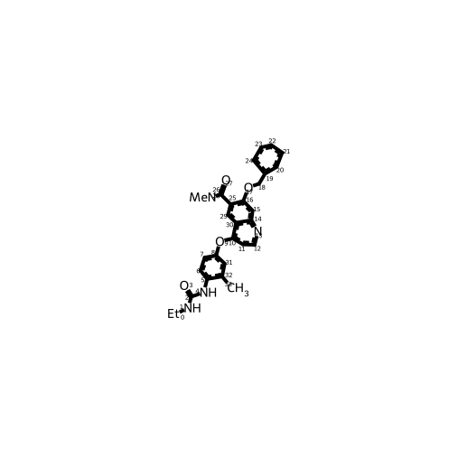 CCNC(=O)Nc1ccc(Oc2ccnc3cc(OCc4ccccc4)c(C(=O)NC)cc23)cc1C